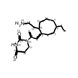 C=C(/C=C1/CCC(CC)CCCC1CCN)N1CCC(=O)NC1=O